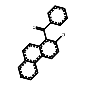 O=C(c1ccccc1)c1c(Cl)ccc2c1ccc1ccccc12